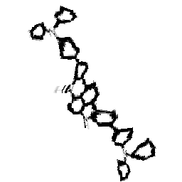 c1ccc(N(c2ccccc2)c2ccc(-c3ccc4c(c3)Nc3ccc5c6c(ccc-4c36)-c3ccc(-c4ccc(N(c6ccccc6)c6ccccc6)cc4)cc3N5)cc2)cc1